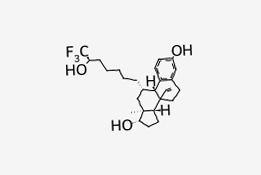 C=CC12CCc3cc(O)ccc3[C@H]1[C@@H](CCCCC[C@@H](O)C(F)(F)F)C[C@]1(C)[C@@H](O)CC[C@@H]21